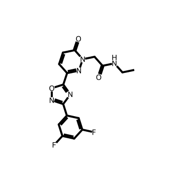 CCNC(=O)Cn1nc(-c2nc(-c3cc(F)cc(F)c3)no2)ccc1=O